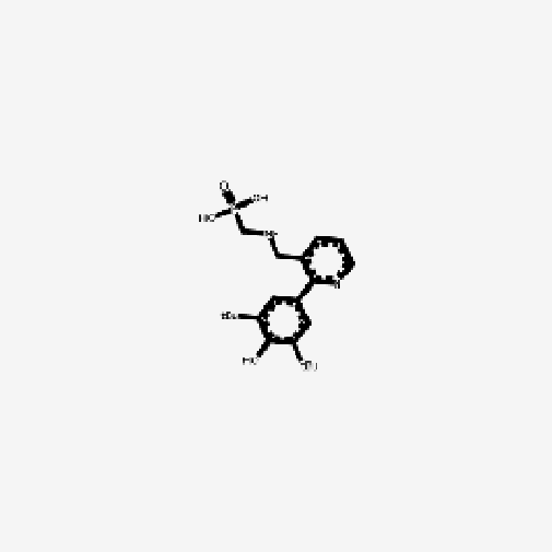 CC(C)(C)c1cc(-c2ncccc2CNCP(=O)(O)O)cc(C(C)(C)C)c1O